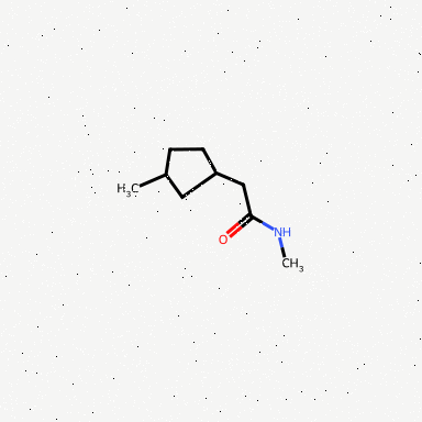 CNC(=O)CC1CCC(C)C1